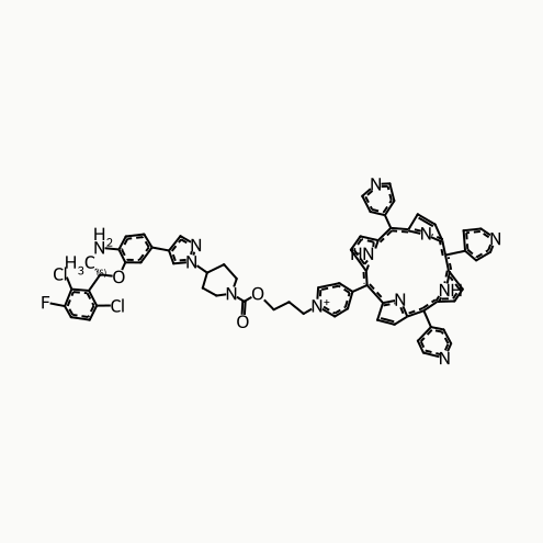 C[C@H](Oc1cc(-c2cnn(C3CCN(C(=O)OCCC[n+]4ccc(-c5c6nc(c(-c7ccncc7)c7ccc([nH]7)c(-c7ccncc7)c7nc(c(-c8ccncc8)c8ccc5[nH]8)C=C7)C=C6)cc4)CC3)c2)ccc1N)c1c(Cl)ccc(F)c1Cl